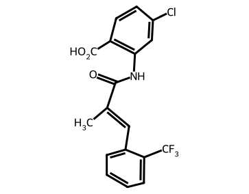 C/C(=C\c1ccccc1C(F)(F)F)C(=O)Nc1cc(Cl)ccc1C(=O)O